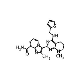 Cc1nc2c(C(N)=O)cccn2c1-c1nc(NCc2cccs2)c2c(n1)N(C)CCC2